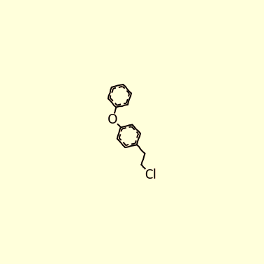 ClCCc1ccc(Oc2ccccc2)cc1